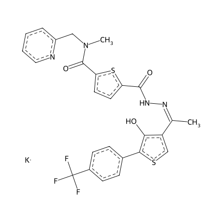 CC(=NNC(=O)c1ccc(C(=O)N(C)Cc2ccccn2)s1)c1csc(-c2ccc(C(F)(F)F)cc2)c1O.[K]